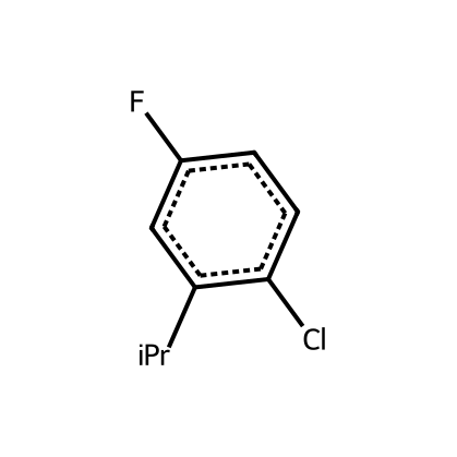 [CH2]C(C)c1cc(F)ccc1Cl